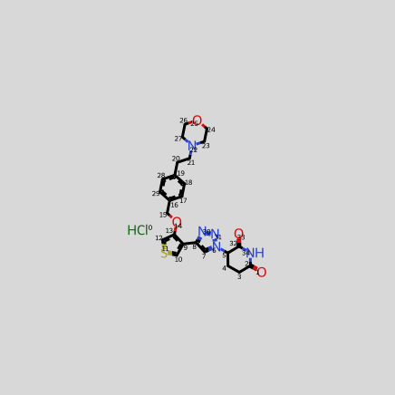 Cl.O=C1CCC(n2cc(-c3cscc3OCc3ccc(CCN4CCOCC4)cc3)nn2)C(=O)N1